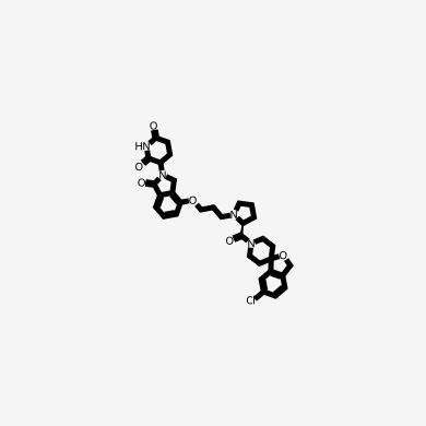 O=C1CCC(N2Cc3c(OCCCN4CCC[C@H]4C(=O)N4CCC5(CC4)OCc4ccc(Cl)cc45)cccc3C2=O)C(=O)N1